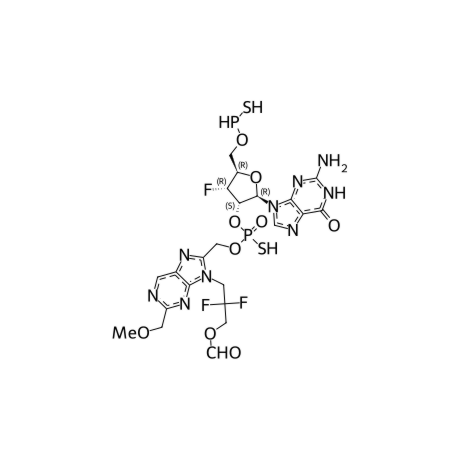 COCc1ncc2nc(COP(=O)(S)O[C@@H]3[C@H](F)[C@@H](COPS)O[C@H]3n3cnc4c(=O)[nH]c(N)nc43)n(CC(F)(F)COC=O)c2n1